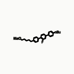 CCCCc1ccc(-c2ccc(-c3ccc(CCCCCOC)cc3)c(F)c2)cc1